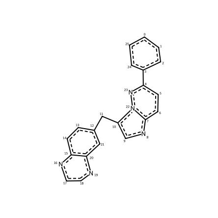 c1ccc(-c2ccc3ncc(Cc4ccc5nccnc5c4)n3n2)cc1